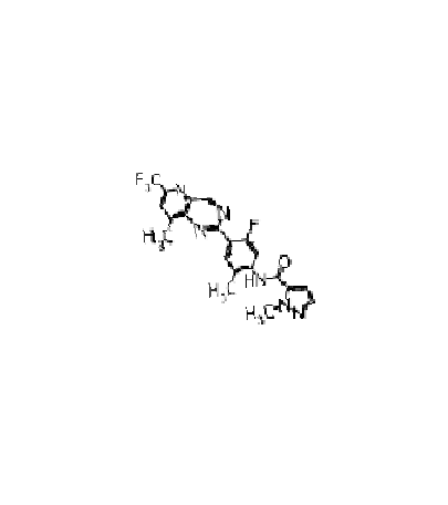 Cc1cc(-c2ncc3nc(C(F)(F)F)cc(C)c3n2)c(F)cc1NC(=O)c1ccnn1C